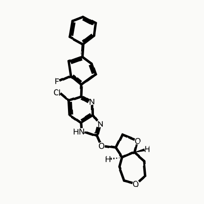 Fc1cc(-c2ccccc2)ccc1-c1nc2nc(OC3CO[C@@H]4CCOCC[C@@H]34)[nH]c2cc1Cl